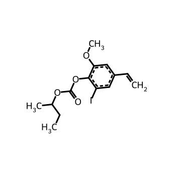 C=Cc1cc(I)c(OC(=O)OC(C)CC)c(OC)c1